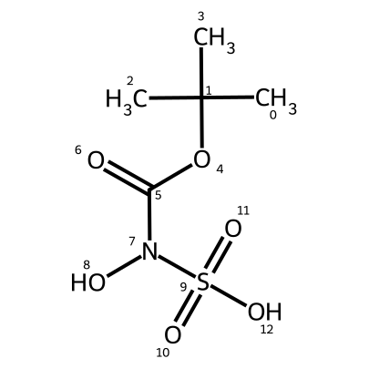 CC(C)(C)OC(=O)N(O)S(=O)(=O)O